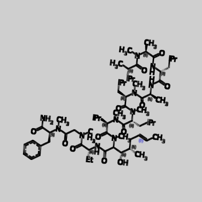 C/C=C/C[C@H](C)[C@H](O)C(C(=O)N[C@H](CC)C(=O)N(C)CC(=O)N(C)[C@@H](Cc1ccccc1)C(N)=O)N(C)C(=O)[C@@H](C(C)C)N(C)C(=O)[C@@H](CC(C)C)N(C)C(=O)[C@@H](CC(C)C)N(C)C(=O)[C@H](C)NC(=O)[C@@H](CC(C)C)NC(=O)[C@H](C)N(C)C(=O)[C@@H](C)C(C)C